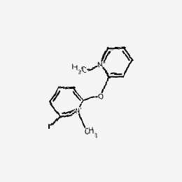 C[n+]1ccccc1Oc1cccc(I)[n+]1C